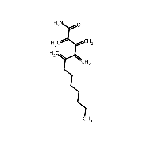 C=C(CCCCCCC)C(=C)C(=C)C(=C)C(N)=O